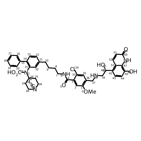 COc1cc(C(=O)NCCCCc2ccc(-c3ccccc3)c(N(C(=O)O)C34CCN(CC3)CC4)c2)c(Cl)cc1CNC[C@@H](O)c1ccc(O)c2[nH]c(=O)ccc12